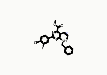 C/C=C\c1c(NCc2ccccc2)nc(-c2ccc(Cl)c(F)c2)nc1C(=O)OC